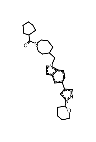 O=C(C1CCCCC1)N1CCCC(Cn2ccc3cc(-c4cnn(C5CCCCO5)c4)ccc32)CC1